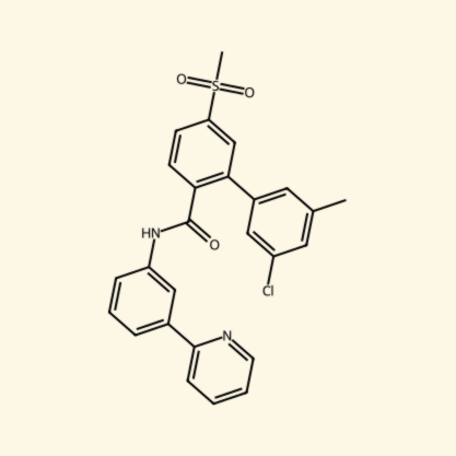 Cc1cc(Cl)cc(-c2cc(S(C)(=O)=O)ccc2C(=O)Nc2cccc(-c3ccccn3)c2)c1